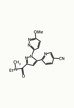 CCN(C)C(=O)c1cc(-c2ccc(C#N)cn2)n(-c2ccc(OC)nn2)n1